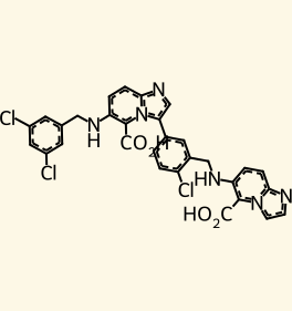 O=C(O)c1c(NCc2cc(-c3cnc4ccc(NCc5cc(Cl)cc(Cl)c5)c(C(=O)O)n34)ccc2Cl)ccc2nccn12